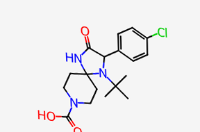 CC(C)(C)N1C(c2ccc(Cl)cc2)C(=O)NC12CCN(C(=O)O)CC2